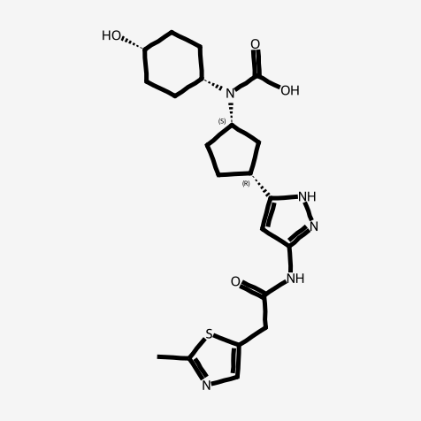 Cc1ncc(CC(=O)Nc2cc([C@@H]3CC[C@H](N(C(=O)O)[C@H]4CC[C@@H](O)CC4)C3)[nH]n2)s1